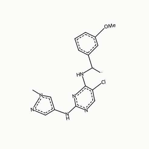 [CH2][C](Nc1nc(Nc2cnn(C)c2)ncc1Cl)c1cccc(OC)c1